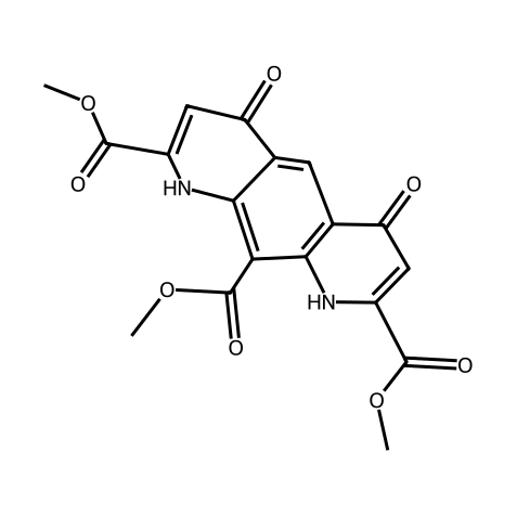 COC(=O)c1cc(=O)c2cc3c(=O)cc(C(=O)OC)[nH]c3c(C(=O)OC)c2[nH]1